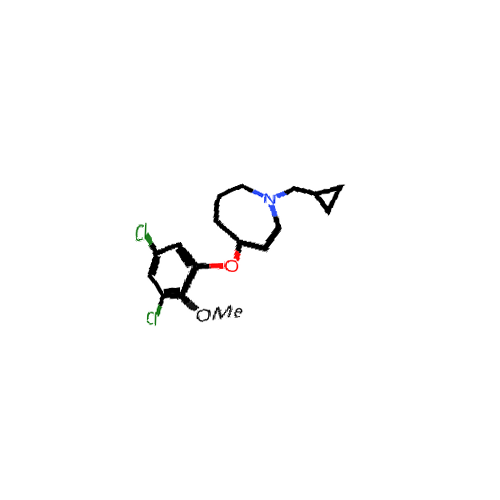 COc1c(Cl)cc(Cl)cc1OC1CCCN(CC2CC2)CC1